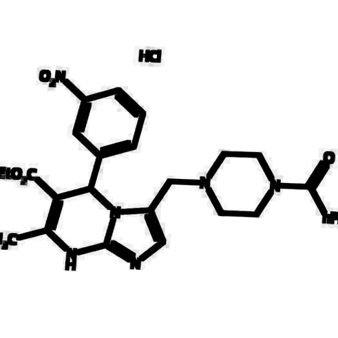 CCCC(=O)N1CCN(Cc2cnc3n2C(c2cccc([N+](=O)[O-])c2)C(C(=O)OCC)=C(C)N3)CC1.Cl